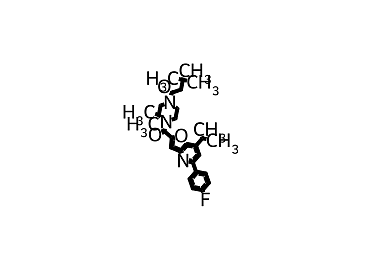 CC(C)c1cc(-c2ccc(F)cc2)nc2cc(C(=O)N3CCN(C(=O)CC(C)(C)C)CC3(C)C)oc12